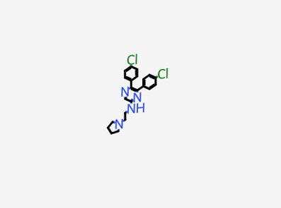 Clc1ccc(-c2ncc(NCCN3CCCC3)nc2-c2ccc(Cl)cc2)cc1